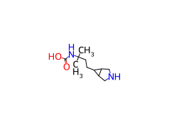 CC(C)(CCC1C2CNCC12)NC(=O)O